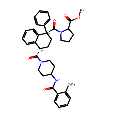 COc1ccccc1C(=O)NC1CCN(C(=O)[C@H]2CC[C@@](C(=O)N3CCCC3C(=O)OC(C)(C)C)(c3ccccc3)c3ccccc32)CC1